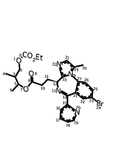 CCOC(=O)OCC(C)C(C)OC(=O)CC[C@@H]1N=C(c2ccccn2)c2cc(Br)ccc2-n2c(C)cnc21